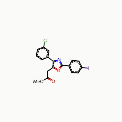 COC(=O)Cc1oc(-c2ccc(I)cc2)nc1-c1cccc(Cl)c1